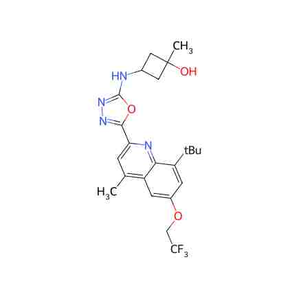 Cc1cc(-c2nnc(NC3CC(C)(O)C3)o2)nc2c(C(C)(C)C)cc(OCC(F)(F)F)cc12